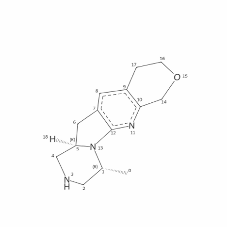 C[C@@H]1CNC[C@H]2Cc3cc4c(nc3N21)COCC4